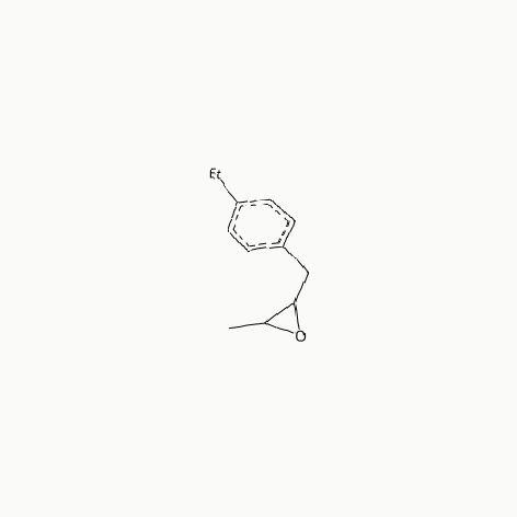 CCc1ccc(CC2OC2C)cc1